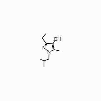 CCc1nn(CC(C)C)c(C)c1O